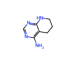 Nc1ncnc2c1CCCN2